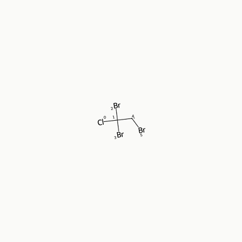 ClC(Br)(Br)[CH]Br